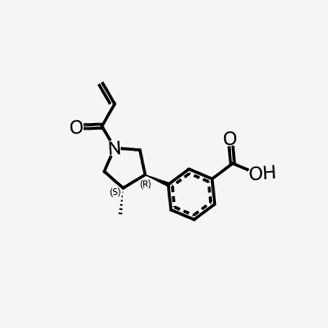 C=CC(=O)N1C[C@@H](C)[C@H](c2cccc(C(=O)O)c2)C1